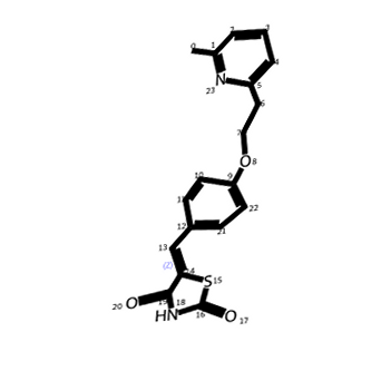 Cc1cccc(CCOc2ccc(/C=C3\SC(=O)NC3=O)cc2)n1